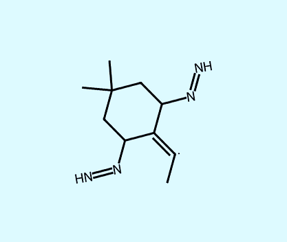 C[C]=C1C(N=N)CC(C)(C)CC1N=N